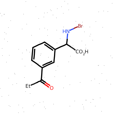 CCC(=O)c1cccc(C(NBr)C(=O)O)c1